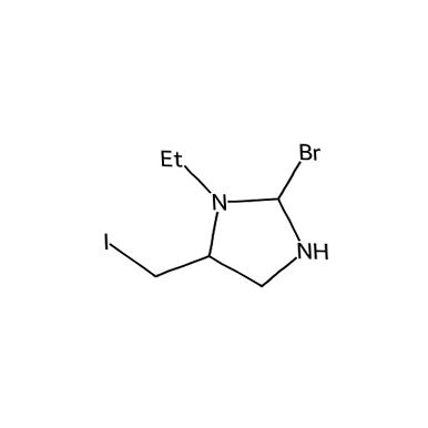 CCN1C(CI)CNC1Br